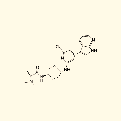 C[C@@H](C(=O)N[C@H]1CC[C@H](Nc2cc(-c3c[nH]c4ncccc34)cc(Cl)n2)CC1)N(C)C